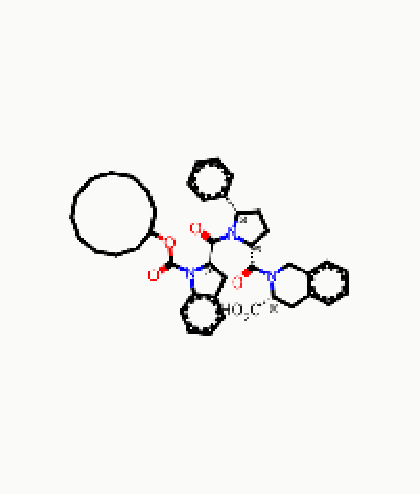 O=C(O)[C@H]1Cc2ccccc2CN1C(=O)[C@H]1CC[C@@H](c2ccccc2)N1C(=O)[C@H]1Cc2ccccc2N1C(=O)OC1CCCCCCCCCCC1